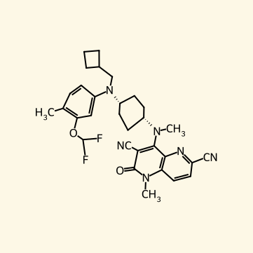 Cc1ccc(N(CC2CCC2)[C@H]2CC[C@@H](N(C)c3c(C#N)c(=O)n(C)c4ccc(C#N)nc34)CC2)cc1OC(F)F